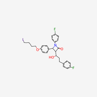 O=C1C(C(O)CCc2ccc(F)cc2)C(c2ccc(OCCCCI)cc2)N1c1ccc(F)cc1